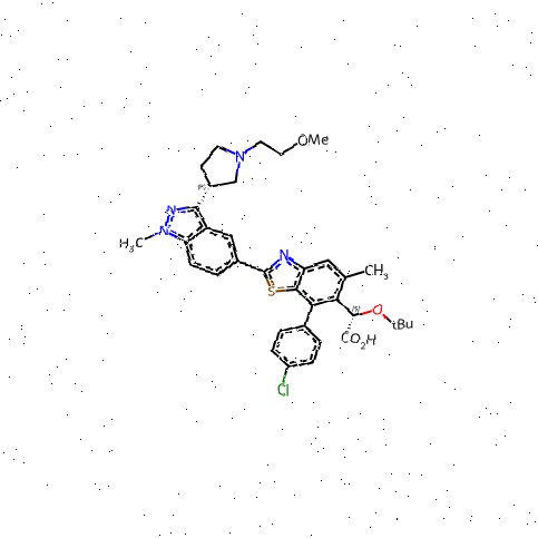 COCCN1CC[C@@H](c2nn(C)c3ccc(-c4nc5cc(C)c([C@H](OC(C)(C)C)C(=O)O)c(-c6ccc(Cl)cc6)c5s4)cc23)C1